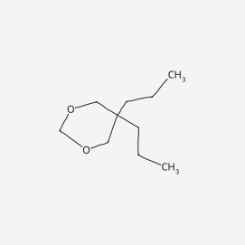 CCCC1(CCC)COCOC1